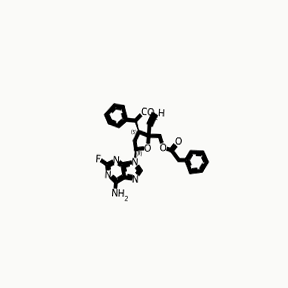 C#CC1(COC(=O)Cc2ccccc2)O[C@@H](n2cnc3c(N)nc(F)nc32)C[C@H]1C(C(=O)O)c1ccccc1